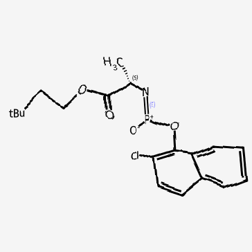 C[C@H](/N=[P+](\[O-])Oc1c(Cl)ccc2ccccc12)C(=O)OCCC(C)(C)C